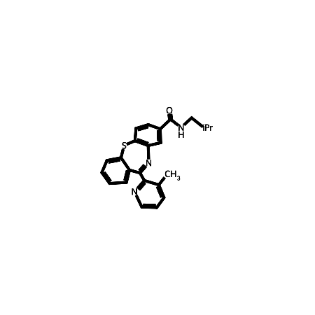 Cc1cccnc1C1=Nc2cc(C(=O)NCC(C)C)ccc2Sc2ccccc21